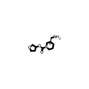 NC[C@H]1CCCN(C(=O)OC2CCOC2)C1